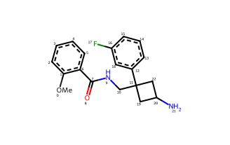 COc1ccccc1C(=O)NCC1(c2cccc(F)c2)CC(N)C1